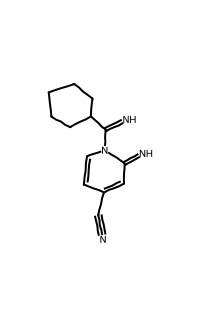 N#Cc1ccn(C(=N)C2CCCCC2)c(=N)c1